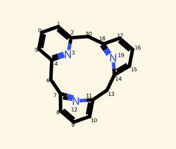 c1cc2nc(c1)Cc1cccc(n1)Cc1cccc(n1)C2